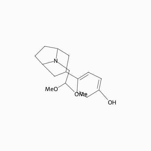 COC(CN1C2CCC1CC(c1ccc(O)cc1)C2)OC